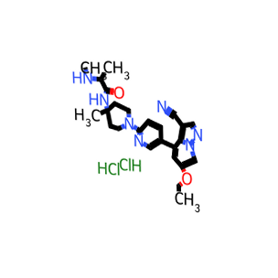 CCOc1cc(-c2ccc(N3CCC(C)(NC(=O)C(C)NC)CC3)nc2)c2c(C#N)cnn2c1.Cl.Cl